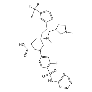 CN1CCC(CN(C)C2(CCc3cccc(C(F)(F)F)c3)CCCN(c3ccc(S(=O)(=O)Nc4ccncn4)c(F)c3)C2)C1.O=CO